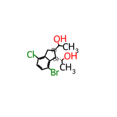 CC(O)[C@@H]1Cc2c(Cl)ccc(Br)c2[C@H]1C(C)O